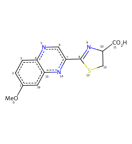 COc1ccc2ncc(C3=NC(C(=O)O)CS3)nc2c1